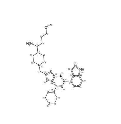 COCCCC(N)C1CCN(Cc2cc3nc(-c4cccc5[nH]ncc45)nc(N4CCOCC4)c3s2)CC1